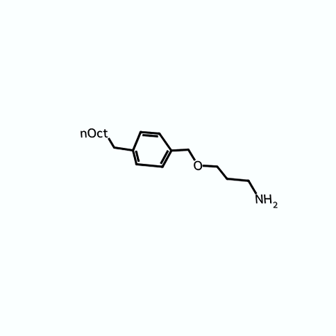 CCCCCCCCCc1ccc(COCCCN)cc1